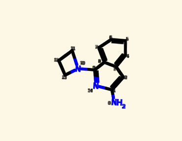 Nc1cc2ccccc2c(N2CCC2)n1